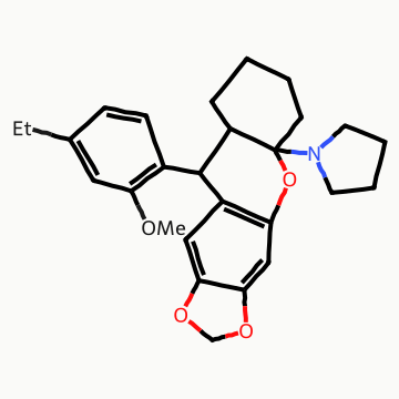 CCc1ccc(C2c3cc4c(cc3OC3(N5CCCC5)CCCCC23)OCO4)c(OC)c1